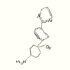 NC1CCC(O)(c2ccc(-c3ncccn3)cn2)CC1